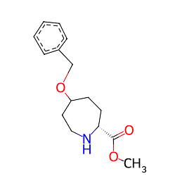 COC(=O)[C@H]1CCC(OCc2ccccc2)CCN1